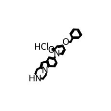 Cl.O=c1cc(OCc2ccccc2)ccn1-c1ccc2c(c1)cc1n2CCNCC1